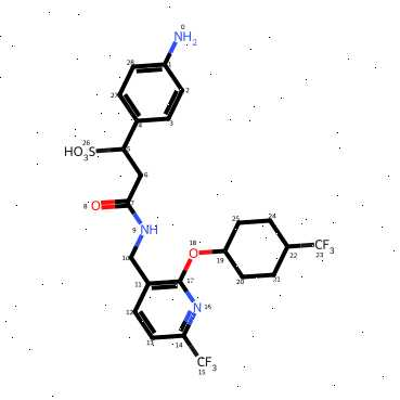 Nc1ccc(C(CC(=O)NCc2ccc(C(F)(F)F)nc2OC2CCC(C(F)(F)F)CC2)S(=O)(=O)O)cc1